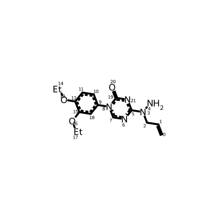 C=CCN(N)c1ncn(-c2ccc(OCC)c(OCC)c2)c(=O)n1